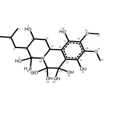 BC1(O)C(CC(C)C)C(O)CC2c3c(O)c(OC)c(OC)c(O)c3C(O)(O)C(O)(O)N21